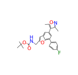 Cc1noc(C)c1-c1cc(-c2ccc(F)cc2)c2oc(CNC(=O)OC(C)(C)C)cc2c1